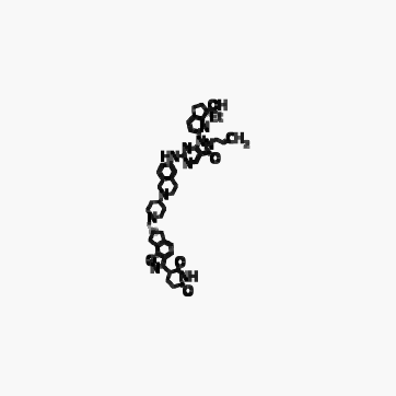 C=CCn1c(=O)c2cnc(Nc3ccc4c(c3)CCN(C3CCN(C[C@@H]5Cc6ccc7c(C8CCC(=O)NC8=O)noc7c6C5)CC3)C4)nc2n1-c1ccc2c(n1)[C@@](O)(CC)CC2